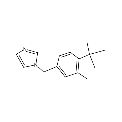 Cc1cc(Cn2ccnc2)ccc1C(C)(C)C